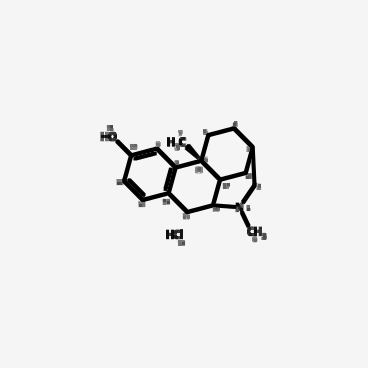 CN1CC2CC[C@@]3(C)c4cc(O)ccc4CC1C3C2.Cl